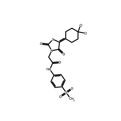 CS(=O)(=O)c1ccc(NC(=O)CN2C(=O)SC(=C3CCC(Cl)(Cl)CC3)C2=O)cc1